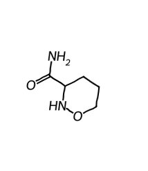 NC(=O)C1CCCON1